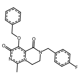 Cc1nc(=O)c(OCc2ccccc2)c2n1CCN(Cc1ccc(F)cc1)C2=O